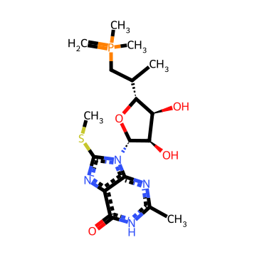 C=P(C)(C)CC(C)[C@H]1O[C@@H](n2c(SC)nc3c(=O)[nH]c(C)nc32)[C@H](O)[C@@H]1O